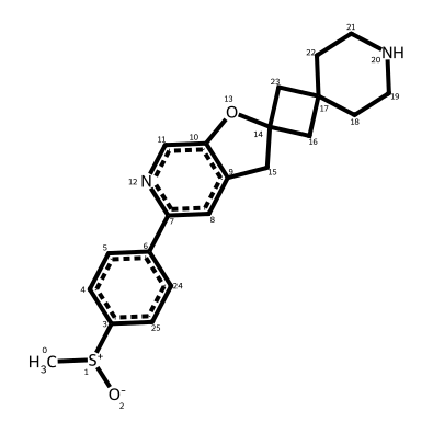 C[S+]([O-])c1ccc(-c2cc3c(cn2)OC2(C3)CC3(CCNCC3)C2)cc1